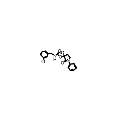 O=C(NCc1cccc(Cl)c1)O[C@@]1(O)CCN(c2ccccc2)C1=O